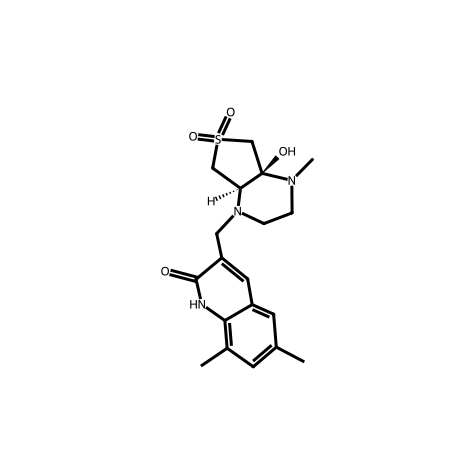 Cc1cc(C)c2[nH]c(=O)c(CN3CCN(C)[C@@]4(O)CS(=O)(=O)C[C@H]34)cc2c1